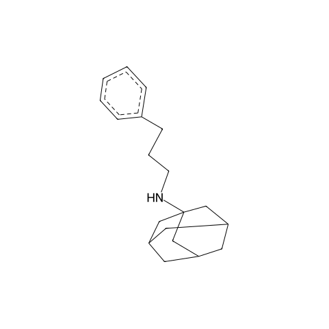 c1ccc(CCCNC23CC4CC(CC(C4)C2)C3)cc1